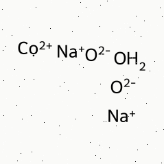 O.[Co+2].[Na+].[Na+].[O-2].[O-2]